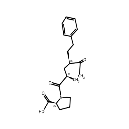 CC(=O)[C@H](CCc1ccccc1)C[C@@H](C)C(=O)N1CCC[C@H]1C(=O)O